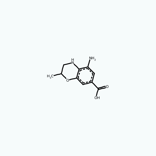 CC1CNc2c(N)cc(C(=O)O)cc2O1